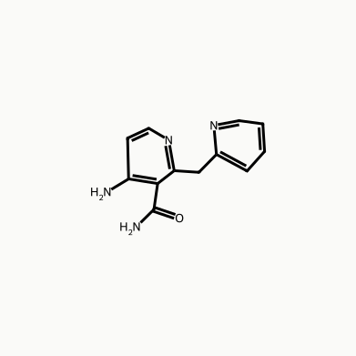 NC(=O)c1c(N)ccnc1Cc1ccccn1